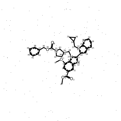 COC(=O)c1cc(OC)c2c(c1)nc(-c1cc3cccnc3n1CC1CC1)n2C[C@H]1CCN(C(=O)OCc2ccccc2)C1